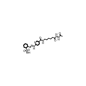 CC(=O)NNC(=O)CCCCCNC(=O)c1ccc(NN=Cc2ccccc2S(=O)(=O)O)nc1